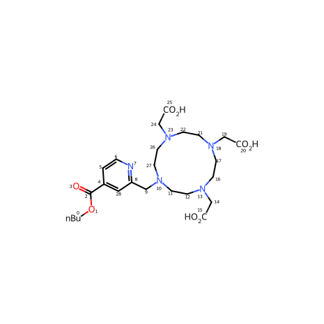 CCCCOC(=O)c1ccnc(CN2CCN(CC(=O)O)CCN(CC(=O)O)CCN(CC(=O)O)CC2)c1